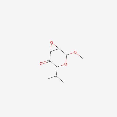 COC1OC(C(C)C)C(=O)C2OC12